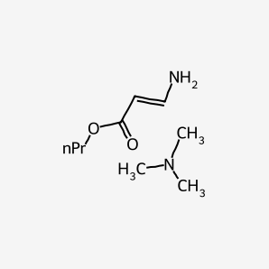 CCCOC(=O)C=CN.CN(C)C